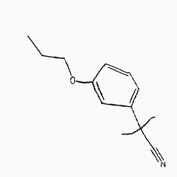 CCCOc1cccc(C(C)(C)C#N)c1